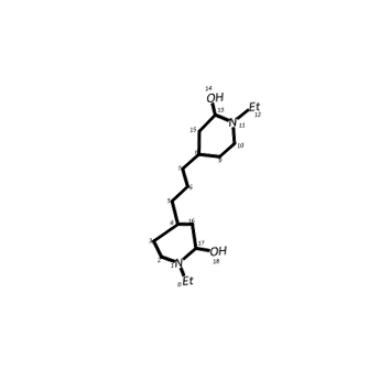 CCN1CCC(CCCC2CCN(CC)C(O)C2)CC1O